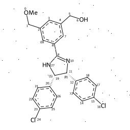 COCc1cc(CO)cc(C2=N[C@H](c3ccc(Cl)cc3)[C@H](c3ccc(Cl)cc3)N2)c1